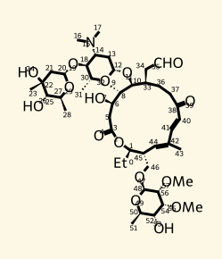 CC[C@H]1OC(=O)C[C@@H](O)[C@H](C)[C@@H](O[C@H]2C[C@@H](N(C)C)[C@H](O[C@H]3C[C@@](C)(O)[C@@H](O)[C@H](C)O3)[C@@H](C)O2)[C@@H](CC=O)CCC(=O)/C=C/C(C)=C/[C@@H]1CO[C@@H]1O[C@H](C)[C@@H](O)[C@@H](OC)[C@H]1OC